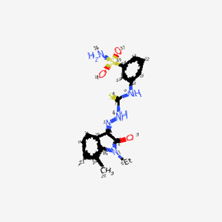 CCN1C(=O)C(=NNC(=S)Nc2cccc(S(N)(=O)=O)c2)c2cccc(C)c21